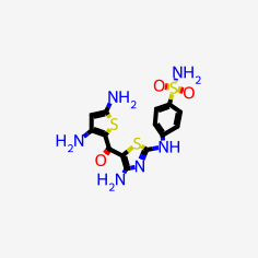 Nc1cc(N)c(C(=O)c2sc(Nc3ccc(S(N)(=O)=O)cc3)nc2N)s1